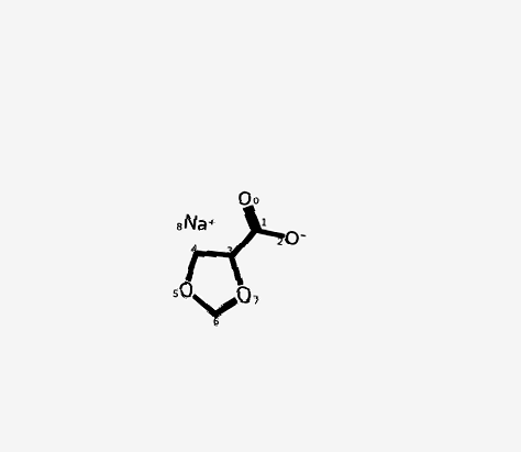 O=C([O-])C1COCO1.[Na+]